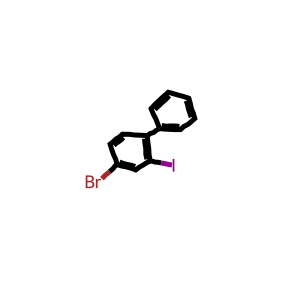 Brc1ccc(-c2ccccc2)c(I)c1